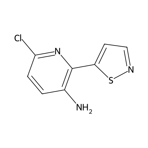 Nc1ccc(Cl)nc1-c1ccns1